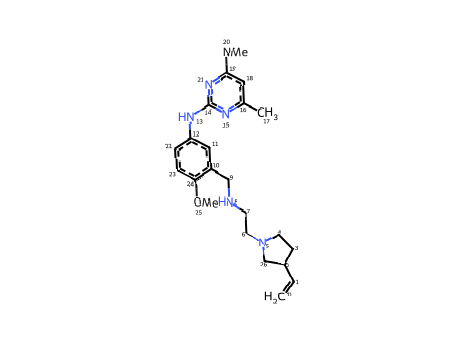 C=CC1CCN(CCNCc2cc(Nc3nc(C)cc(NC)n3)ccc2OC)C1